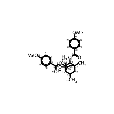 COc1ccc(C(=O)OC2C3C(C)CC(C)(CC3(C)C)C2OC(=O)c2ccc(OC)cc2)cc1